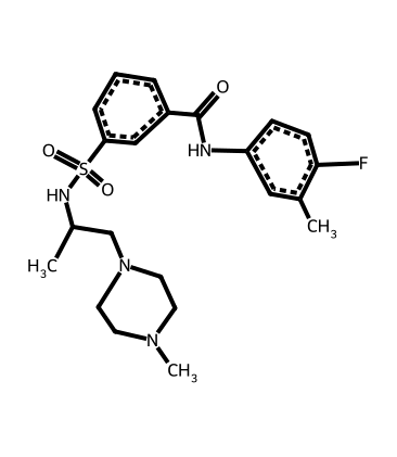 Cc1cc(NC(=O)c2cccc(S(=O)(=O)NC(C)CN3CCN(C)CC3)c2)ccc1F